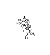 CC(C)CCC[C@@H](C)[C@H]1CC[C@H]2[C@@H]3CC=C4C(C)(C)[C@H](O)[C@H](O)C[C@]4(C)[C@H]3CC[C@]12C